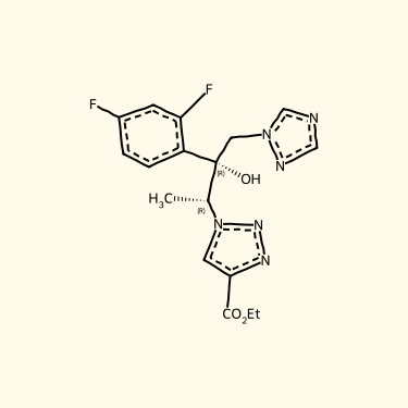 CCOC(=O)c1cn([C@H](C)[C@](O)(Cn2cncn2)c2ccc(F)cc2F)nn1